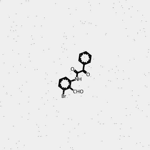 O=Cc1c(Br)cccc1NC(=O)C(=O)c1ccccc1